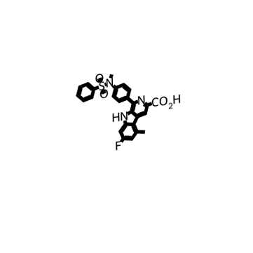 Cc1cc(F)cc2[nH]c3c(-c4ccc(N(C)S(=O)(=O)c5ccccc5)cc4)nc(C(=O)O)cc3c12